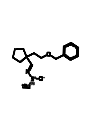 CC(C)(C)[S@@+]([O-])N=CC1(CCOCc2ccccc2)CCCC1